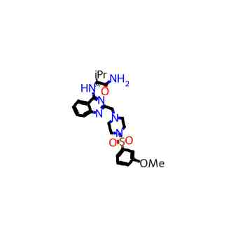 COc1cccc(S(=O)(=O)N2CCN(Cc3nc(N[C@H](C(N)=O)C(C)C)c4ccccc4n3)CC2)c1